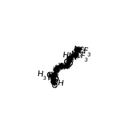 Cn1nc(N2CCC(=O)NC2=O)c2ccc(C3CCN(CC4CCN(c5cccc(S(=O)(=O)N6CCC(Nc7ncc(C(F)(F)F)c(-c8cnn(CC(F)(F)F)c8)n7)CC6)c5)CC4)CC3)cc21